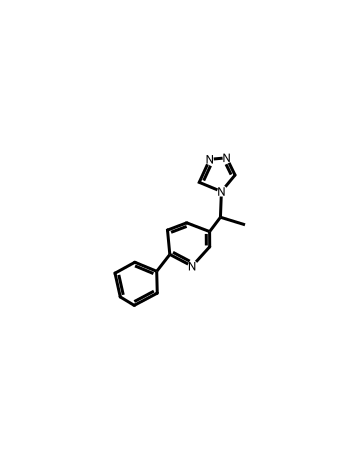 CC(c1ccc(-c2ccccc2)nc1)n1cnnc1